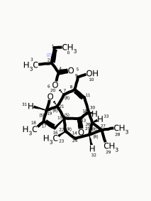 C/C=C(/C)C(=O)O[C@@H]1C(CO)=C[C@@H]2C(=O)[C@]3(C=C(C)[C@@H]4O[C@@]143)[C@H](C)C[C@@H]1[C@H]2C1(C)C